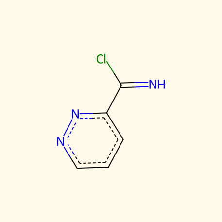 N=C(Cl)c1cccnn1